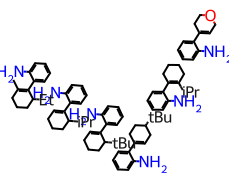 CC(C)(C)C1CC=C(c2ccccc2N)CC1.CC(C)(C)C1CCCC=C1c1ccccc1N.CC(C)C1=C(c2ccccc2N)CCCC1.CC(C)C1CCCC=C1c1ccccc1N.CCC1CCCC(C)=C1c1ccccc1N.Nc1ccccc1C1=CCOCC1